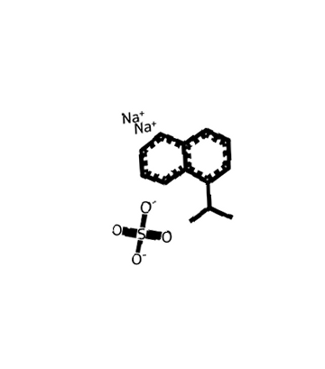 CC(C)c1cccc2ccccc12.O=S(=O)([O-])[O-].[Na+].[Na+]